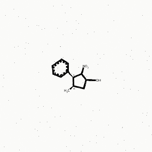 C[C@@H]1CC(O)C([N+](=O)[O-])[C@@H]1c1ccccc1